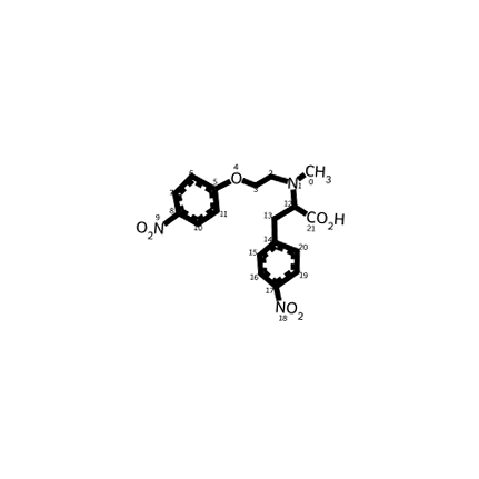 CN(CCOc1ccc([N+](=O)[O-])cc1)C(Cc1ccc([N+](=O)[O-])cc1)C(=O)O